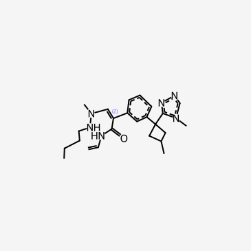 C=CNC(=O)/C(=C\N(C)NCCCC)c1cccc(C2(c3nncn3C)CC(C)C2)c1